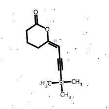 C[Si](C)(C)C#C/C=C1\CCCC(=O)O1